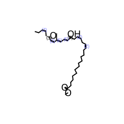 CC/C=C\C[C@@H](\C=C/C=C/C=C/[C@H](O)C/C=C\C/C=C\CCCCCCCCCCCCC(=O)OC)OI